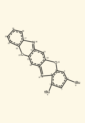 CC(C)(C)c1cc2c(c(C(C)(C)C)c1)N=c1cc3c(cc1O2)=Nc1ccccc1O3